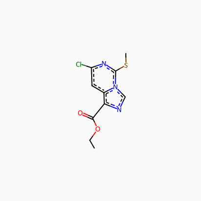 CCOC(=O)c1ncn2c(SC)nc(Cl)cc12